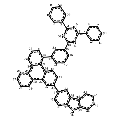 c1ccc(-c2nc(-c3ccccc3)nc(-c3cccc(-c4cccc5c6ccccc6c6cc(-c7ccc8sc9ccccc9c8c7)ccc6c45)c3)n2)cc1